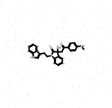 CNc1ccc(C(=O)CC2(O)C(=O)N(CCc3c[nH]c4ccccc34)c3ccccc32)cc1